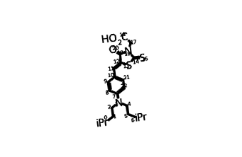 CC(C)CCN(CCC(C)C)c1ccc(/C=C2\SC(=S)N(CC(=O)O)C2=O)cc1